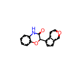 O=C1Nc2ccccc2OC1c1ccc2coccc1-2